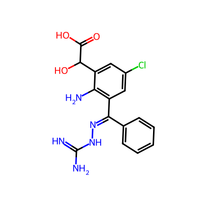 N=C(N)N/N=C(\c1ccccc1)c1cc(Cl)cc(C(O)C(=O)O)c1N